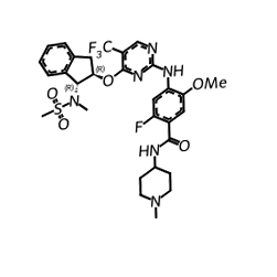 COc1cc(C(=O)NC2CCN(C)CC2)c(F)cc1Nc1ncc(C(F)(F)F)c(O[C@@H]2Cc3ccccc3[C@H]2N(C)S(C)(=O)=O)n1